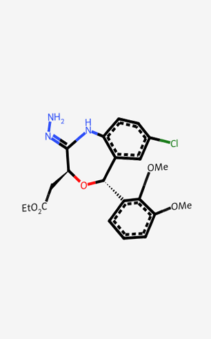 CCOC(=O)C[C@@H]1O[C@@H](c2cccc(OC)c2OC)c2cc(Cl)ccc2NC1=NN